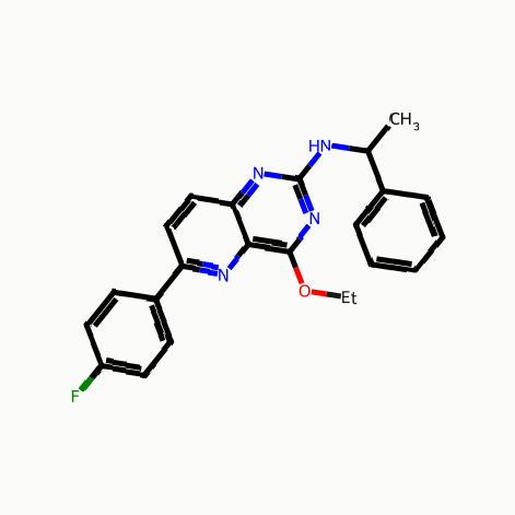 CCOc1nc(NC(C)c2ccccc2)nc2ccc(-c3ccc(F)cc3)nc12